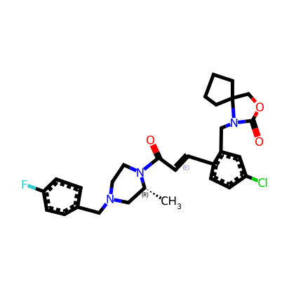 C[C@@H]1CN(Cc2ccc(F)cc2)CCN1C(=O)/C=C/c1ccc(Cl)cc1CN1C(=O)OCC12CCCC2